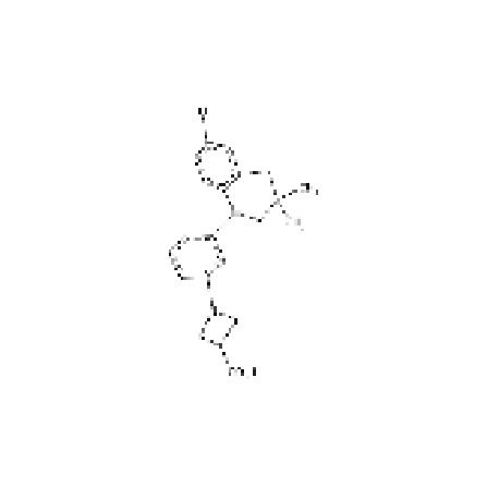 CC1(C)Cc2cc(Cl)ccc2N(c2cccc(N3CC(C(=O)O)C3)c2)C1